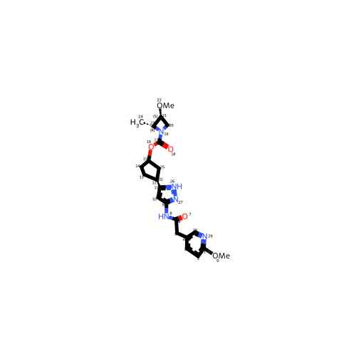 COc1ccc(CC(=O)Nc2cc([C@H]3CCC(OC(=O)N4C[C@H](OC)[C@H]4C)C3)[nH]n2)cn1